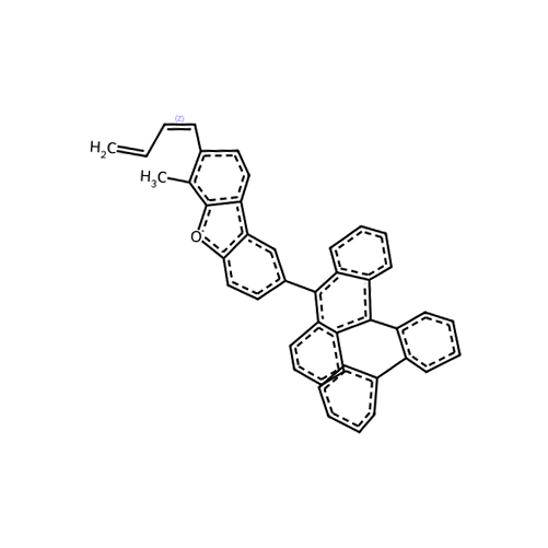 C=C/C=C\c1ccc2c(oc3ccc(-c4c5ccccc5c(-c5ccccc5-c5ccccc5)c5ccccc45)cc32)c1C